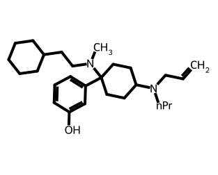 C=CCN(CCC)C1CCC(c2cccc(O)c2)(N(C)CCC2CCCCC2)CC1